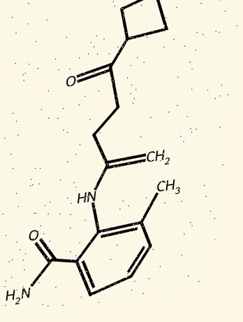 C=C(CCC(=O)C1CCC1)Nc1c(C)cccc1C(N)=O